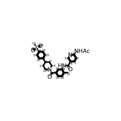 CC(=O)Nc1ccc(C(=O)Nc2cc(C(=O)N3CCC(c4ccc(S(C)(=O)=O)cc4)CC3)ccc2C)cn1